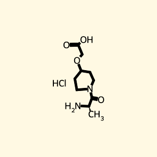 C[C@H](N)C(=O)N1CCC(OCC(=O)O)CC1.Cl